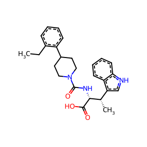 CCc1ccccc1C1CCN(C(=O)N[C@@H](C(=O)O)[C@@H](C)c2c[nH]c3ccccc23)CC1